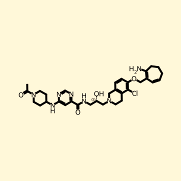 CC(=O)N1CCC(Nc2cc(C(=O)NC[C@H](O)CN3CCc4c(ccc(OCC5=C(N)CCCC=C5)c4Cl)C3)ncn2)CC1